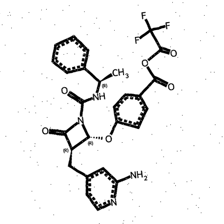 C[C@@H](NC(=O)N1C(=O)[C@H](Cc2ccnc(N)c2)[C@H]1Oc1ccc(C(=O)OC(=O)C(F)(F)F)cc1)c1ccccc1